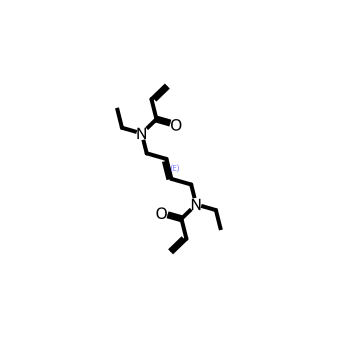 C=CC(=O)N(CC)C/C=C/CN(CC)C(=O)C=C